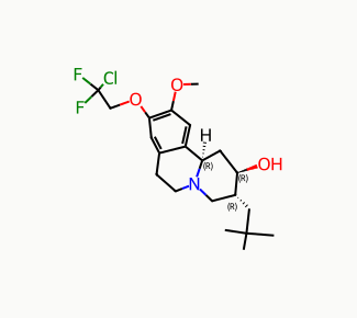 COc1cc2c(cc1OCC(F)(F)Cl)CCN1C[C@@H](CC(C)(C)C)[C@H](O)C[C@H]21